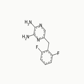 Nc1ncc(Cc2c(F)cccc2F)nc1N